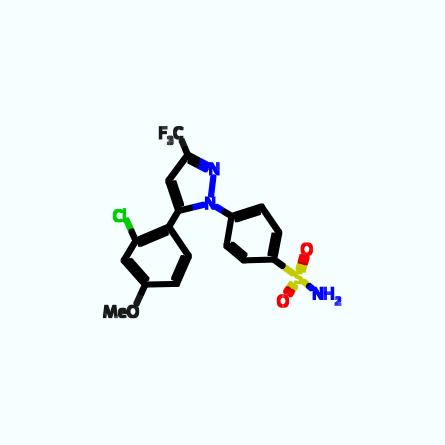 COc1ccc(-c2cc(C(F)(F)F)nn2-c2ccc(S(N)(=O)=O)cc2)c(Cl)c1